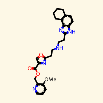 COc1cccnc1COC(=O)c1coc(CCNCCc2nc3c4c(ccc3[nH]2)CCCC4)n1